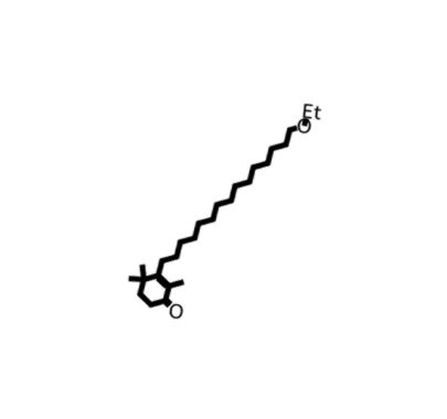 CCOCCCCCCCCCCCCCCCC1=C(C)C(=O)CCC1(C)C